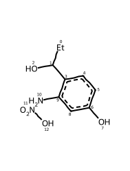 CCC(O)c1ccc(O)cc1N.O=[N+]([O-])O